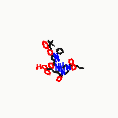 CCCOC(=O)N1CCN(C(=O)C(CCC(=O)O)NC(=O)c2cc(OCC(=O)C(C)(C)C)n(-c3ccccc3)n2)CC1